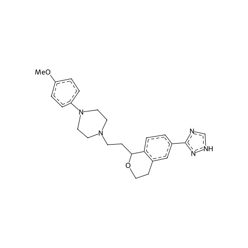 COc1ccc(N2CCN(CCC3OCCc4cc(-c5nc[nH]n5)ccc43)CC2)cc1